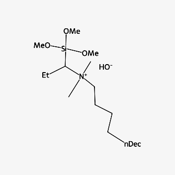 CCCCCCCCCCCCCC[N+](C)(C)C(CC)[Si](OC)(OC)OC.[OH-]